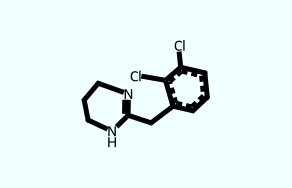 Clc1cccc(CC2=NCCCN2)c1Cl